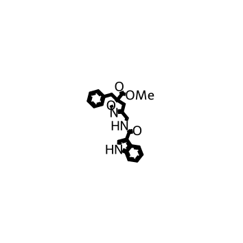 COC(=O)C1(Cc2ccccc2)CC(CNC(=O)c2c[nH]c3ccccc23)=NO1